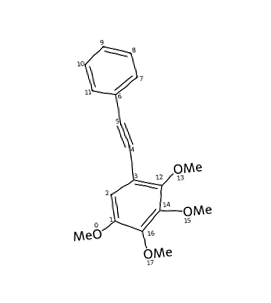 COc1cc(C#Cc2ccccc2)c(OC)c(OC)c1OC